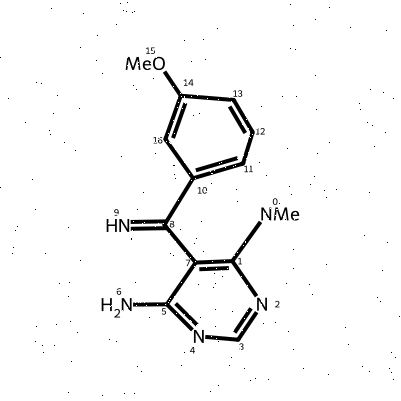 CNc1ncnc(N)c1C(=N)c1cccc(OC)c1